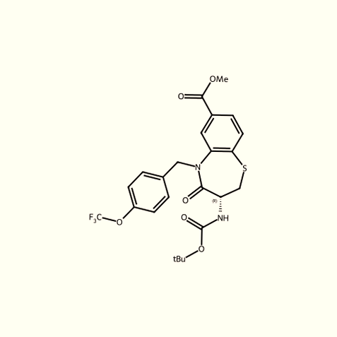 COC(=O)c1ccc2c(c1)N(Cc1ccc(OC(F)(F)F)cc1)C(=O)[C@@H](NC(=O)OC(C)(C)C)CS2